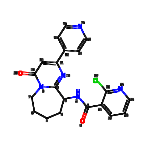 O=C(NC1CCCCn2c1nc(-c1ccncc1)cc2=O)c1cccnc1Cl